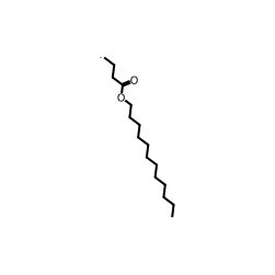 [CH2]CCC(=O)OCCCCCCCCCCCC